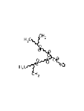 C=CCCCC(CCCC=C)COC(=O)CCCCC(=O)OCC(COC(=O)CCCCC(=O)OCC(CCCC=C)CCCC=C)COC(=O)CCCN1CCCC1